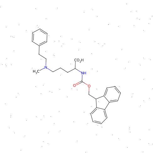 CN(CCCC(NC(=O)OCC1c2ccccc2-c2ccccc21)C(=O)O)CCc1ccccc1